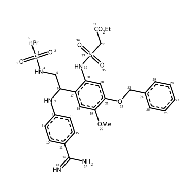 CCCS(=O)(=O)NCC(Nc1ccc(C(=N)N)cc1)c1cc(OC)c(OCc2ccccc2)cc1NS(=O)(=O)CC(=O)OCC